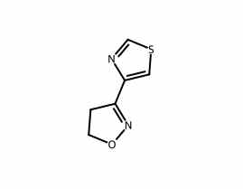 c1nc(C2=NOCC2)cs1